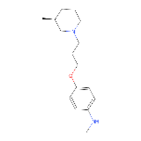 CNc1ccc(OCCCN2CCC[C@H](C)C2)cc1